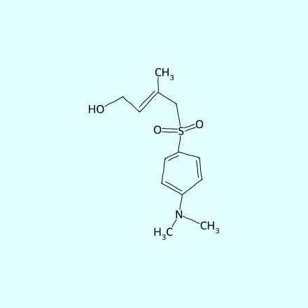 CC(=CCO)CS(=O)(=O)c1ccc(N(C)C)cc1